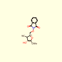 CO[C@@H]1O[C@H](CON2C(=O)c3ccccc3C2=O)C(C#N)[C@H]1O